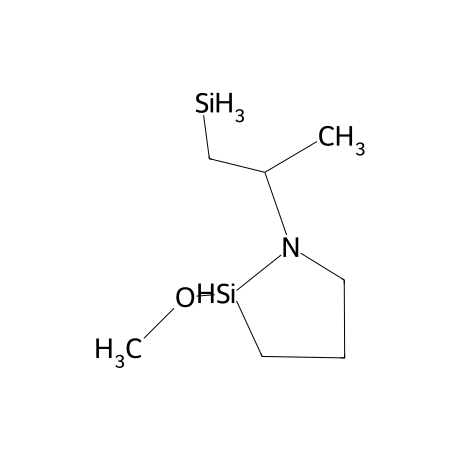 CO[SiH]1CCCN1C(C)C[SiH3]